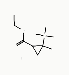 CCOC(=O)C1CC1(C)[B-](F)(F)F.[K+]